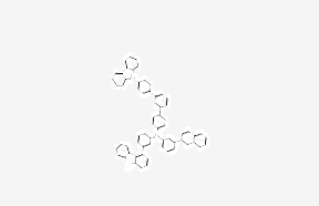 c1cc(-c2ccc(N(c3cccc(-c4ccc5ccccc5c4)c3)c3cccc(-c4cccc5oc6ccccc6c45)c3)cc2)cc(-c2ccc(-n3c4ccccc4c4ccccc43)cc2)c1